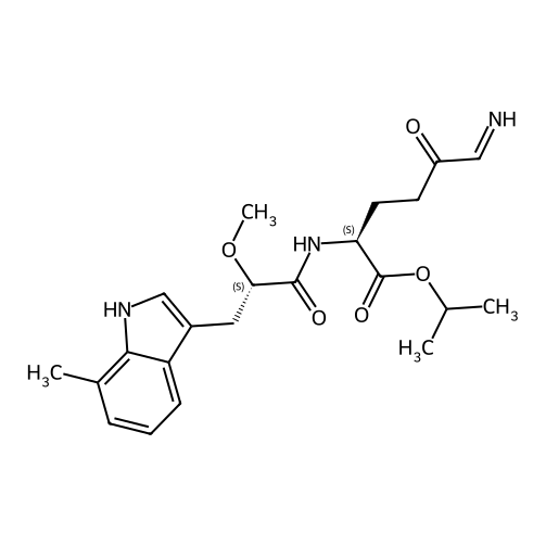 CO[C@@H](Cc1c[nH]c2c(C)cccc12)C(=O)N[C@@H](CCC(=O)C=N)C(=O)OC(C)C